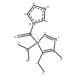 CCC1=C(C)N=C[N+]1(C(=O)n1ccnc1)C(C)C